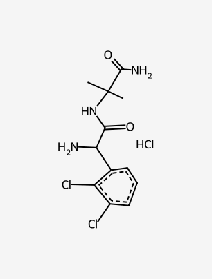 CC(C)(NC(=O)C(N)c1cccc(Cl)c1Cl)C(N)=O.Cl